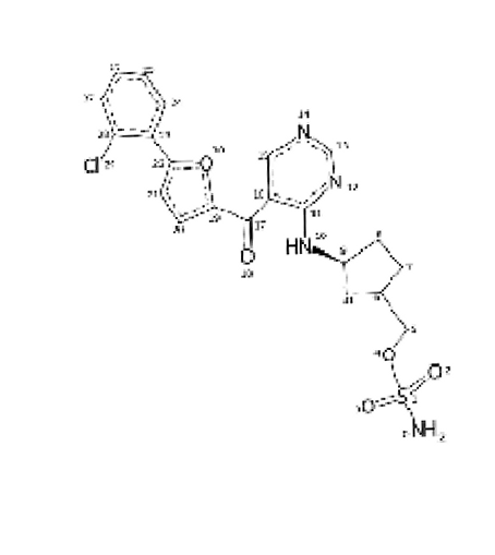 NS(=O)(=O)OCC1CC[C@H](Nc2ncncc2C(=O)c2ccc(-c3ccccc3Cl)o2)C1